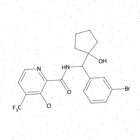 O=C(NC(c1cccc(Br)c1)C1(O)CCCC1)c1nccc(C(F)(F)F)c1Cl